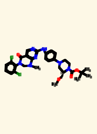 COC[C@@H]1CN(c2ccc(Nc3ncc4c(n3)N(C)CN(c3c(Cl)cccc3Cl)C4=O)cc2)CCN1C(=O)OC(C)(C)C